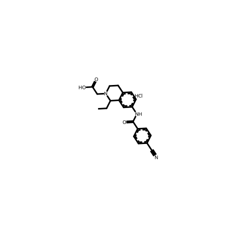 CCC1c2cc(NC(=O)c3ccc(C#N)cc3)ccc2CCN1CC(=O)O.Cl